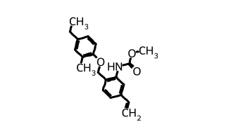 C=Cc1ccc(COc2ccc(CC)cc2C)c(NC(=O)OC)c1